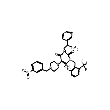 Cc1c(N2CCN(Cc3cccc([N+](=O)[O-])c3)CC2)c(=O)n(CC(N)c2ccccc2)c(=O)n1Cc1c(F)cccc1C(F)(F)F